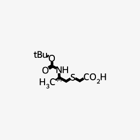 C[C@H](CSCC(=O)O)NC(=O)OC(C)(C)C